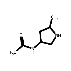 CC1CC(NC(=O)C(F)(F)F)CN1